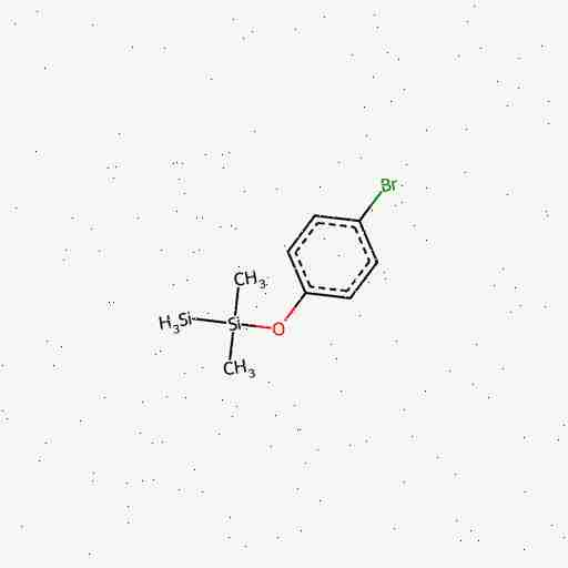 C[Si](C)([SiH3])Oc1ccc(Br)cc1